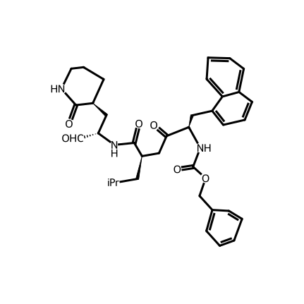 CC(C)C[C@H](CC(=O)[C@@H](Cc1cccc2ccccc12)NC(=O)OCc1ccccc1)C(=O)N[C@H](C=O)C[C@@H]1CCCNC1=O